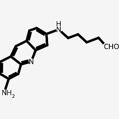 Nc1ccc2cc3ccc(NCCCCC=O)cc3nc2c1